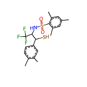 Cc1cc(C)c(S(=O)(=O)NC(C(S)c2ccc(C)c(C)c2)C(F)(F)F)c(C)c1